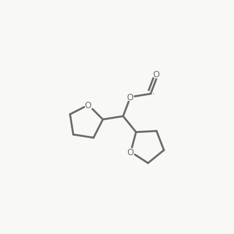 O=[C]OC(C1CCCO1)C1CCCO1